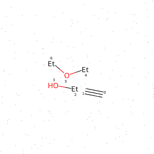 C#C.CCO.CCOCC